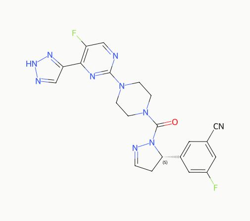 N#Cc1cc(F)cc([C@@H]2CC=NN2C(=O)N2CCN(c3ncc(F)c(-c4cn[nH]n4)n3)CC2)c1